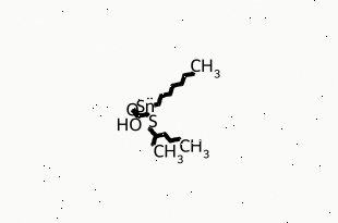 CCCCCCC[CH2][Sn][CH](SCC(CC)CCCC)C(=O)O